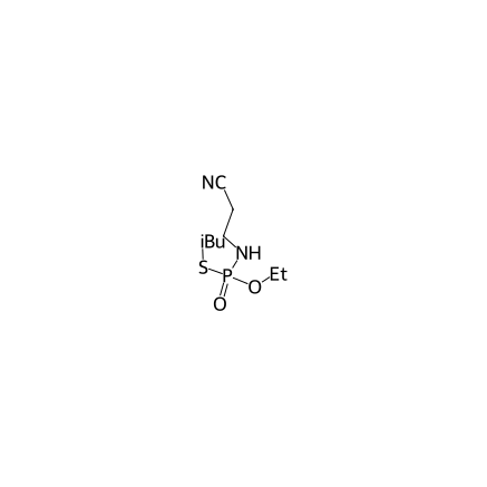 CCOP(=O)(NCCC#N)SC(C)CC